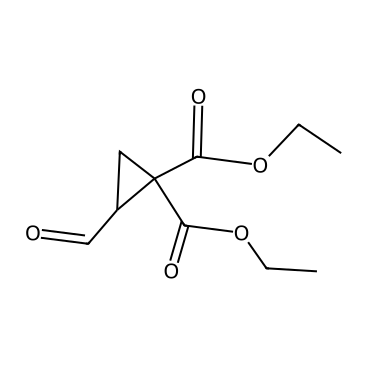 CCOC(=O)C1(C(=O)OCC)CC1C=O